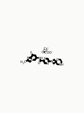 Cc1cn2cc(NC(=O)c3cnc(N4CC5(CNCCO5)C4)cn3)cc(F)c2n1.O=C([O-])[O-].[Cs+].[Cs+]